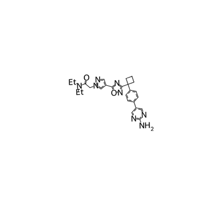 CCN(CC)C(=O)Cn1cc(-c2nc(C3(c4ccc(-c5cnc(N)nc5)cc4)CCC3)no2)cn1